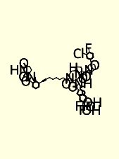 O=C1CCC(N2Cc3c(C#CCCCCCC(=O)N4CC[C@H]5CC[C@@H](C(=O)N6CCOC(c7ccc(F)c(Cl)c7)C6)N5C(=O)[C@@H](NC(=O)c5cc6cc(C(F)(F)P(=O)(O)O)ccc6s5)C4)cccc3C2=O)C(=O)N1